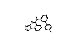 Cc1ccc(-c2cccc(N(C)c3nc4nncn4c4ccccc34)c2)cc1